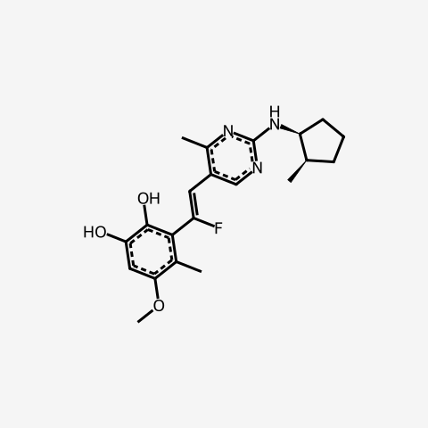 COc1cc(O)c(O)c(/C(F)=C/c2cnc(N[C@H]3CCC[C@H]3C)nc2C)c1C